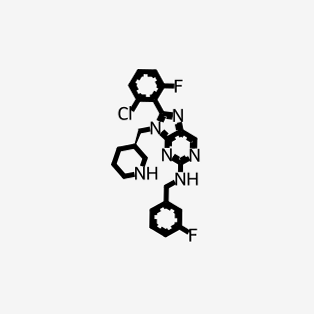 Fc1cccc(CNc2ncc3nc(-c4c(F)cccc4Cl)n(C[C@@H]4CCCNC4)c3n2)c1